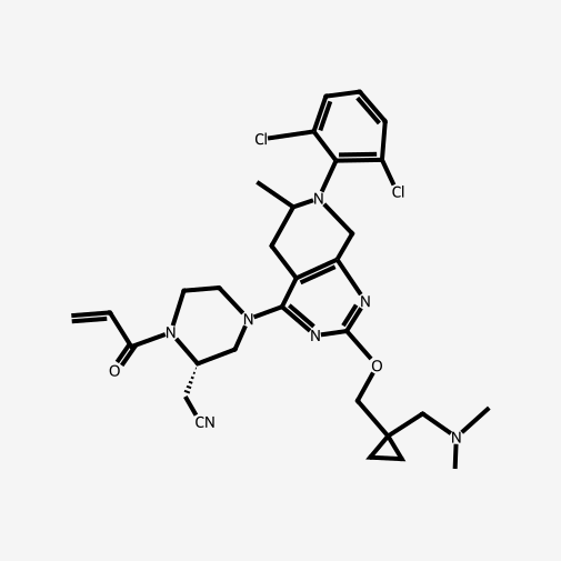 C=CC(=O)N1CCN(c2nc(OCC3(CN(C)C)CC3)nc3c2CC(C)N(c2c(Cl)cccc2Cl)C3)C[C@@H]1CC#N